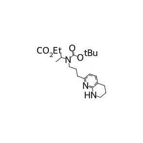 CCOC(=O)C(C)N(CCCc1ccc2c(n1)NCCC2)C(=O)OC(C)(C)C